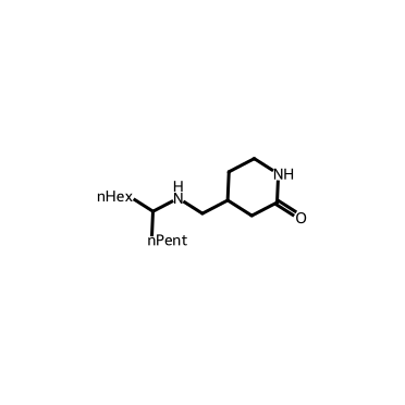 CCCCCCC(CCCCC)NCC1CCNC(=O)C1